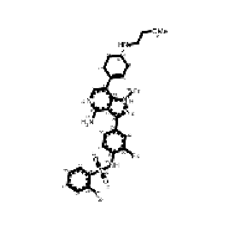 COCCN[C@@H]1CC=C(c2cnc(N)c3c(-c4ccc(NS(=O)(=O)c5ccccc5Cl)c(F)c4)nn(C(C)C)c23)CC1